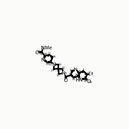 CCc1cc2ncc(C(=O)N3CC4(C3)CN(c3ccc(C(=O)NC)nc3)C4)cc2[nH]c1=O